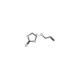 C=CCO[C@H]1COC(=O)O1